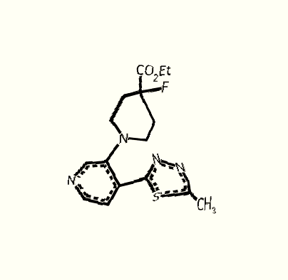 CCOC(=O)C1(F)CCN(c2cnccc2-c2nnc(C)s2)CC1